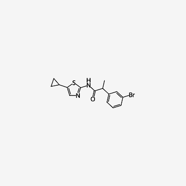 CC(C(=O)Nc1ncc(C2CC2)s1)c1cccc(Br)c1